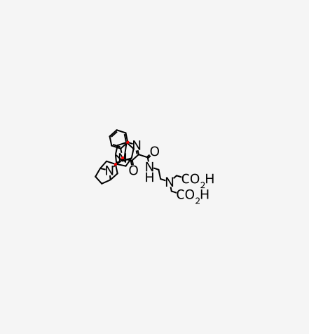 O=C(O)CN(CCNC(=O)c1nc2ccccc2n(C2CC3CCC(C2)N3C23CC4CC(CC2C4)C3)c1=O)CC(=O)O